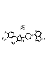 Cc1[nH]c(C2CCN(c3ncnc4[nH]cnc34)CC2)nc1-c1ccc(F)c(C(F)(F)F)c1.Cl.Cl